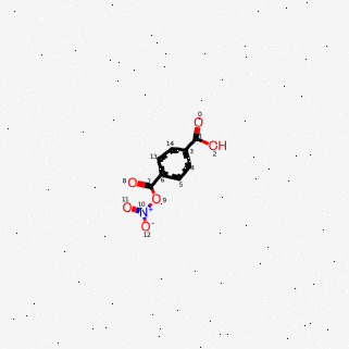 O=C(O)c1ccc(C(=O)O[N+](=O)[O-])cc1